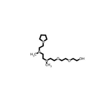 CN(CCOCCOCCO)CCN(C)CCN1CCCC1